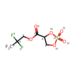 O=C(OCC(F)(F)C(F)(F)F)C1COS(=O)(=O)O1